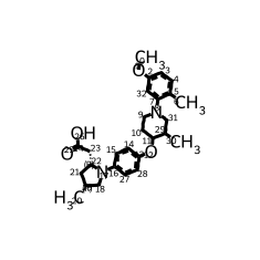 COc1ccc(C)c(N2CCC(Oc3ccc(N4C[C@H](C)C[C@@H]4CC(=O)O)cc3)C(C)C2)c1